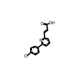 O=C(O)C=Cc1cccc(-c2ccc(Cl)cc2)n1